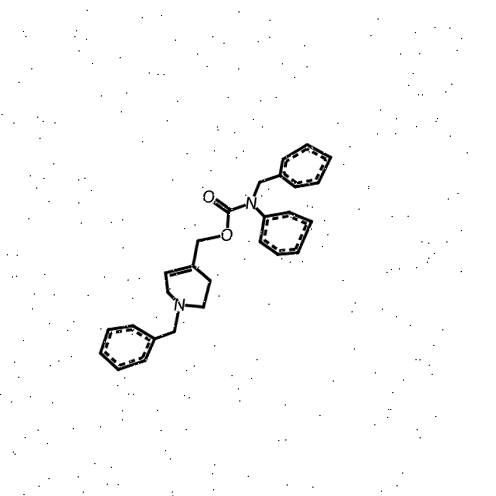 O=C(OCC1=CCN(Cc2ccccc2)CC1)N(Cc1ccccc1)c1ccccc1